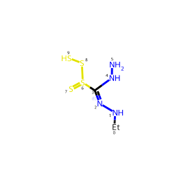 CCN/N=C(\NN)S(=S)SS